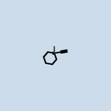 C#C[Si]1(C)CCCCC1